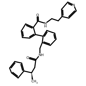 C[C@H](CC(=O)NCc1ccccc1-c1ccccc1C(=O)NCCc1ccncc1)c1ccccc1